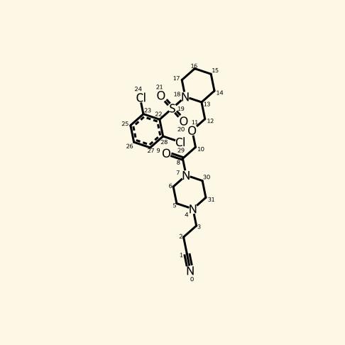 N#CCCN1CCN(C(=O)COCC2CCCCN2S(=O)(=O)c2c(Cl)cccc2Cl)CC1